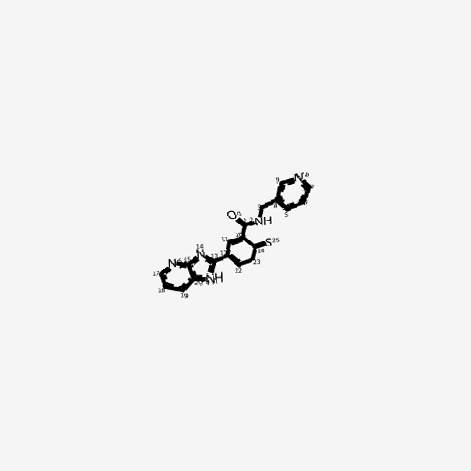 O=C(NCc1cccnc1)C1=CC(c2nc3ncccc3[nH]2)=CCC1=S